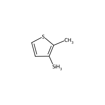 Cc1sccc1[SiH3]